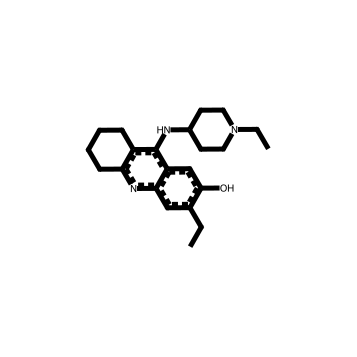 CCc1cc2nc3c(c(NC4CCN(CC)CC4)c2cc1O)CCCC3